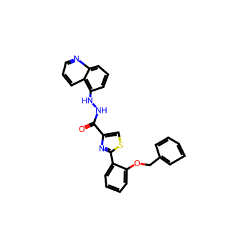 O=C(NNc1cccc2ncccc12)c1csc(-c2ccccc2OCc2ccccc2)n1